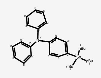 CCC[CH2][Sn]([CH2]CCC)([CH2]CCC)[c]1ccc(N(c2ccccc2)c2ccccc2)cc1